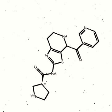 O=C(c1cccnc1)C1NCCc2nc(NC(=O)[C@H]3CCNC3)sc21